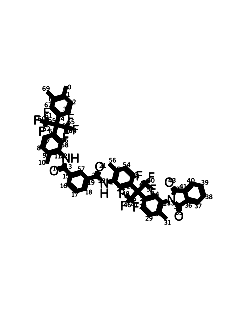 Cc1ccc(C(c2ccc(C)c(NC(=O)c3cccc(C(=O)Nc4cc(C(c5ccc(C)c(N6C(=O)c7ccccc7C6=O)c5)(C(F)(F)F)C(F)(F)F)ccc4C)c3)c2)(C(F)(F)F)C(F)(F)F)cc1C